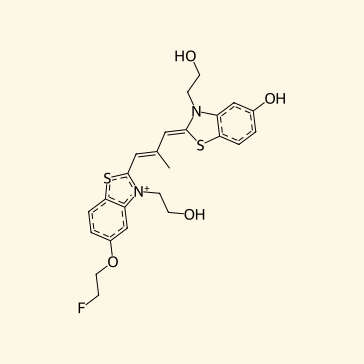 CC(/C=C1\Sc2ccc(O)cc2N1CCO)=C\c1sc2ccc(OCCF)cc2[n+]1CCO